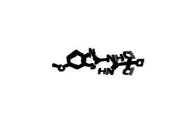 COc1ccc2nc(NC(=N)C(Cl)(Cl)Cl)sc2c1